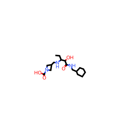 CCC(NCC1CN(C(=O)O)C1)C(O)C(=O)NCC1CCCCC1